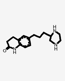 O=C1CCc2cc(CCCC3CNCCN3)ccc2N1